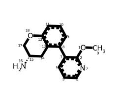 COc1ncccc1-c1cccc2c1C[C@H](N)CO2